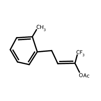 CC(=O)OC(=CCc1ccccc1C)C(F)(F)F